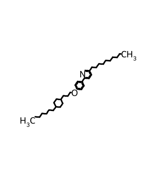 CCCCCCCCCCc1ccc(-c2ccc(OCCCC3CCC(CCCCCCC)CC3)cc2)nc1